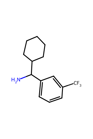 NC(c1cccc(C(F)(F)F)c1)C1CCCCC1